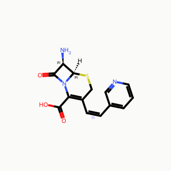 N[C@@H]1C(=O)N2C(C(=O)O)=C(/C=C\c3cccnc3)CS[C@H]12